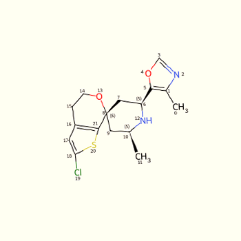 Cc1ncoc1[C@@H]1C[C@]2(C[C@H](C)N1)OCCc1cc(Cl)sc12